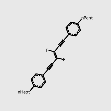 CCCCCCCc1ccc(C#C/C(F)=C(\F)C#Cc2ccc(CCCCC)cc2)cc1